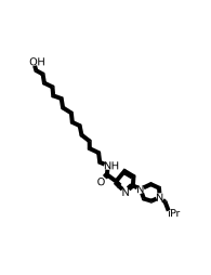 CC(C)CN1CCN(c2ccc(C(=O)NCCCCCCCCCCCCCCCO)cn2)CC1